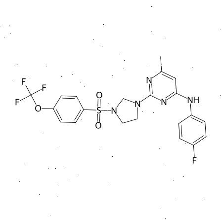 Cc1cc(Nc2ccc(F)cc2)nc(N2CCN(S(=O)(=O)c3ccc(OC(F)(F)F)cc3)C2)n1